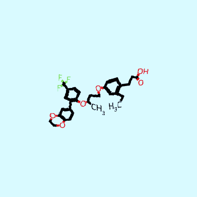 CCc1cc(OCCC(C)Oc2ccc(C(F)(F)F)cc2-c2ccc3c(c2)OCCO3)ccc1CCC(=O)O